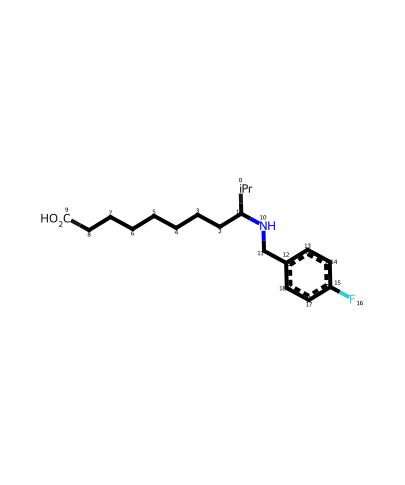 CC(C)C(CCCCCCCC(=O)O)NCc1ccc(F)cc1